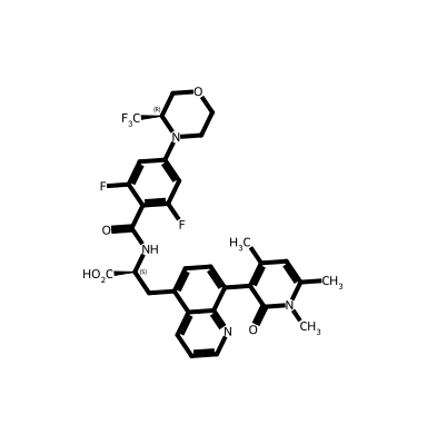 Cc1cc(C)n(C)c(=O)c1-c1ccc(C[C@H](NC(=O)c2c(F)cc(N3CCOC[C@@H]3C(F)(F)F)cc2F)C(=O)O)c2cccnc12